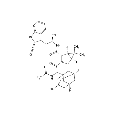 CC1(C)[C@@H]2[C@@H](C(=O)N[C@H](C#N)CC3C(=C=O)Nc4ccccc43)N(C(=O)[C@@H](NC(=O)C(F)(F)F)C34C[C@@H]5C[C@@H](CC(O)(C5)C3)C4)C[C@@H]21